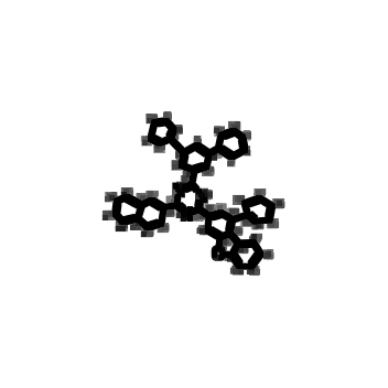 c1ccc(-c2cc(-c3ccccc3)cc(-c3nc(-c4ccc5ccccc5c4)nc(-c4cc(-c5ccccc5)c5c(c4)oc4ccccc45)n3)c2)cc1